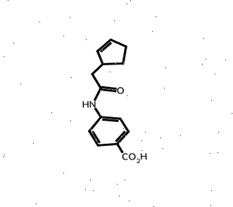 O=C(CC1C=CCC1)Nc1ccc(C(=O)O)cc1